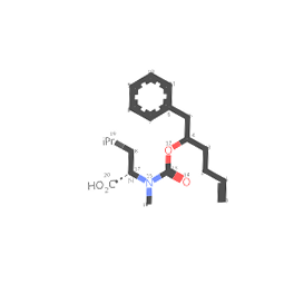 C=CCCC(Cc1ccccc1)OC(=O)N(C)[C@@H](CC(C)C)C(=O)O